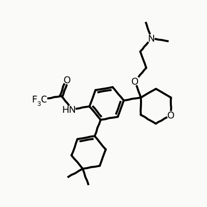 CN(C)CCOC1(c2ccc(NC(=O)C(F)(F)F)c(C3=CCC(C)(C)CC3)c2)CCOCC1